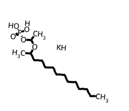 CCCCCCCCCCCCC(C)OC(C)OP(=O)(O)O.[KH]